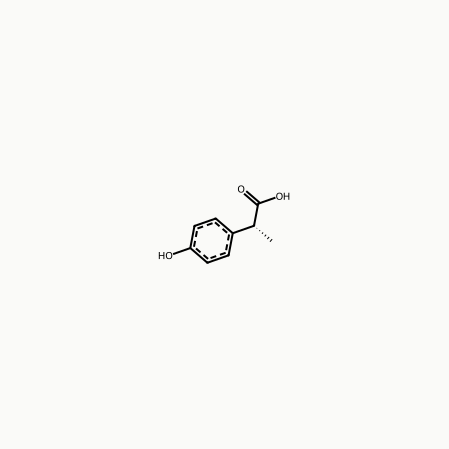 C[C@@H](C(=O)O)c1ccc(O)cc1